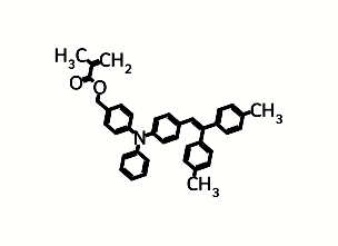 C=C(C)C(=O)OCc1ccc(N(c2ccccc2)c2ccc(C=C(c3ccc(C)cc3)c3ccc(C)cc3)cc2)cc1